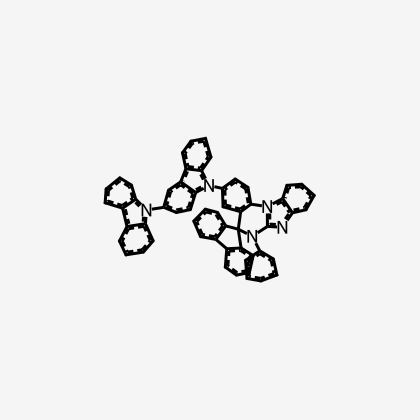 c1ccc(N2c3nc4ccccc4n3-c3ccc(-n4c5ccccc5c5cc(-n6c7ccccc7c7ccccc76)ccc54)cc3C23c2ccccc2-c2ccccc23)cc1